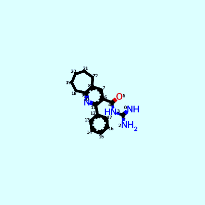 N=C(N)NC(=O)c1cc2c(nc1-c1ccccc1)CCCCC2